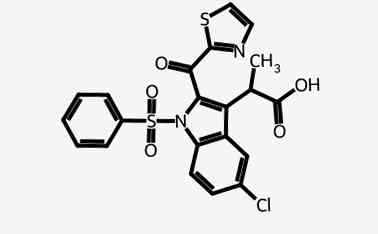 CC(C(=O)O)c1c(C(=O)c2nccs2)n(S(=O)(=O)c2ccccc2)c2ccc(Cl)cc12